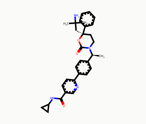 C[C@@H](c1ccc(-c2ccc(C(=O)NC3CC3)cn2)cc1)N1CC[C@](CC(C)(C)N)(c2ccccc2)OC1=O